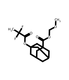 COCOC(=O)C12CC3CC(CC(OC(=O)C(C)(F)F)(C3)C1)C2